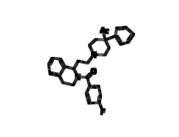 CC(=O)C1(c2ccccc2)CCN(CCC2c3ccccc3CCN2C(=O)c2ccc(F)cc2)CC1